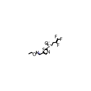 CCO/N=C/c1cnc([S+]([O-])CCC(F)=C(F)F)s1